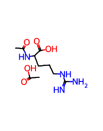 CC(=O)NC(CCCNC(=N)N)C(=O)O.CC(=O)O